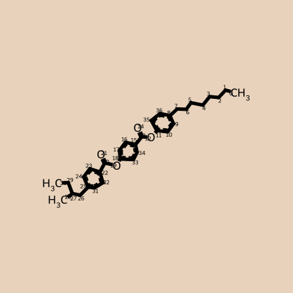 CCCCCCCCc1ccc(OC(=O)c2ccc(OC(=O)c3ccc(CC(C)CC)cc3)cc2)cc1